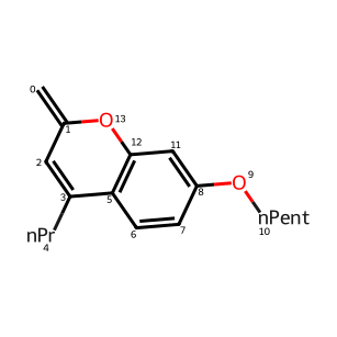 C=C1C=C(CCC)c2ccc(OCCCCC)cc2O1